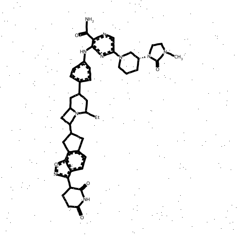 CCC1CC(c2ccc(Nc3nc(N4CCC[C@@H](N5CCN(C)C5=O)C4)cnc3C(N)=O)cc2)CC2CC(C3Cc4ccc5c(C6CCC(=O)NC6=O)noc5c4C3)N12